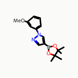 COc1cccc(-n2cc(B3OC(C)(C)C(C)(C)O3)cn2)c1